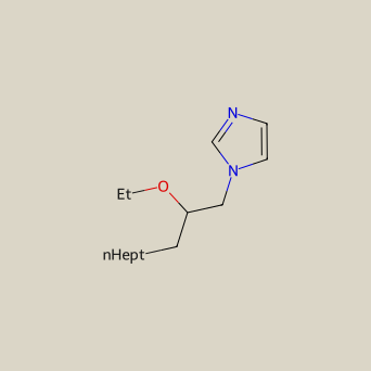 CCCCCCCCC(Cn1ccnc1)OCC